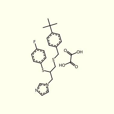 CC(C)(C)c1ccc(CSCC(Cn2ccnc2)Sc2ccc(F)cc2)cc1.O=C(O)C(=O)O